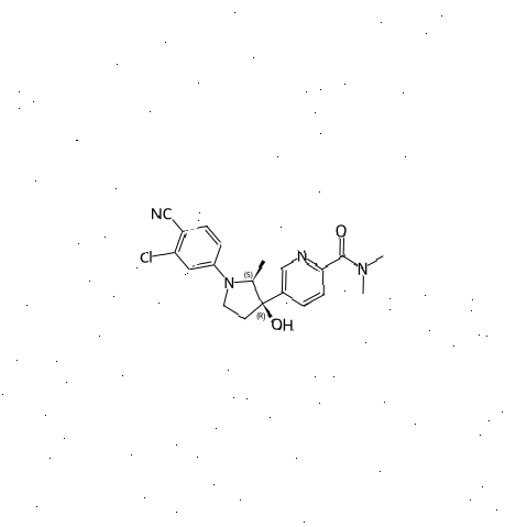 C[C@@H]1N(c2ccc(C#N)c(Cl)c2)CC[C@@]1(O)c1ccc(C(=O)N(C)C)nc1